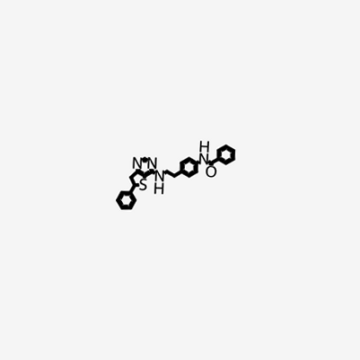 O=C(Nc1ccc(CCNc2ncnc3c2SC(c2ccccc2)C3)cc1)c1ccccc1